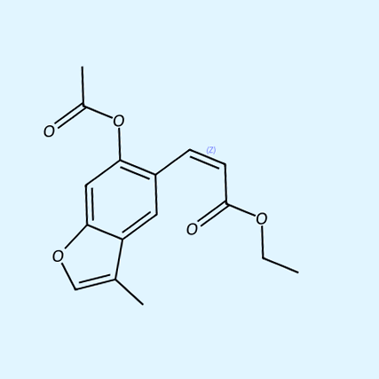 CCOC(=O)/C=C\c1cc2c(C)coc2cc1OC(C)=O